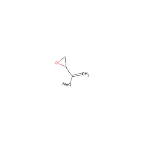 C=C(OC)C1CO1